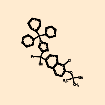 CC(C)C(O)(c1ccc2c(Cl)c(O[Si](C)(C)C(C)(C)C)ccc2c1)c1cn(C(c2ccccc2)(c2ccccc2)c2ccccc2)cn1